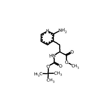 COC(=O)C(Cc1cccnc1N)NC(=O)OC(C)(C)C